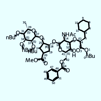 CCCCOC(=O)[C@H](CC1CCCCC1)OC1C(NC(C)=O)[C@H](O[C@@H]2CC(C(=O)OC)CC2OC2O[C@@H](C)C(OCCCC)[C@H](OCCCC)[C@@H]2OCCCC)O[C@@H](COC(=O)c2ccccc2)[C@@H]1O